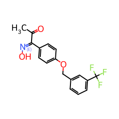 CC(=O)/C(=N/O)c1ccc(OCc2cccc(C(F)(F)F)c2)cc1